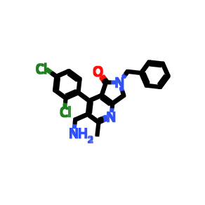 Cc1nc2c(c(-c3ccc(Cl)cc3Cl)c1CN)C(=O)N(Cc1ccccc1)C2